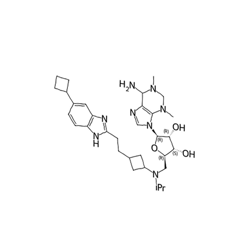 CC(C)N(C[C@H]1O[C@@H](n2cnc3c2N(C)CN(C)C3N)[C@H](O)[C@@H]1O)C1CC(CCc2nc3cc(C4CCC4)ccc3[nH]2)C1